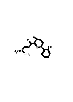 Cc1ccccc1-n1ccc(=O)c(C(=O)/C=C/N(C)C)n1